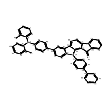 Cc1ccccc1N(c1ccc(-c2ccc3c(c2)c2ccc4c(c2n3-c2ccc(-c3ccccc3)cc2)C(=O)c2ccccc2-4)cc1)c1ccccc1C